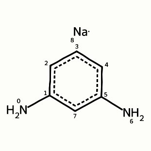 Nc1cccc(N)c1.[Na]